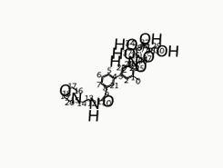 Cc1cc(-c2cccc(C3OC3NCCN3CCOCC3)c2)ccc1O[C@H]1O[C@H](CO)[C@@H](O)[C@H](O)[C@]1(N)O